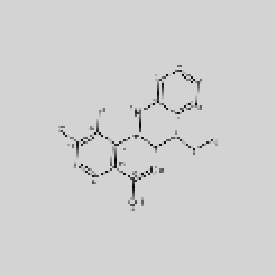 CCCCC(=Nc1ccccc1)c1c(C(=O)O)ccc(C)c1C